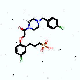 C[C@@H]1CN(Cc2ccc(Cl)cc2)CCN1C(=O)COc1ccc(Cl)cc1CCCS(=O)(=O)O